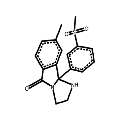 Cc1ccc2c(c1)C1(c3cccc(S(C)(=O)=O)c3)NCCN1C2=O